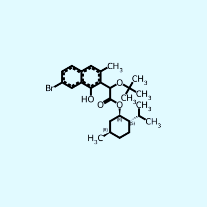 Cc1cc2ccc(Br)cc2c(O)c1C(OC(C)(C)C)C(=O)O[C@@H]1C[C@H](C)CC[C@H]1C(C)C